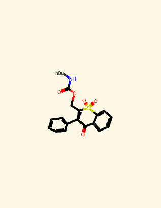 CCCCNC(=O)OCC1=C(c2ccccc2)C(=O)c2ccccc2S1(=O)=O